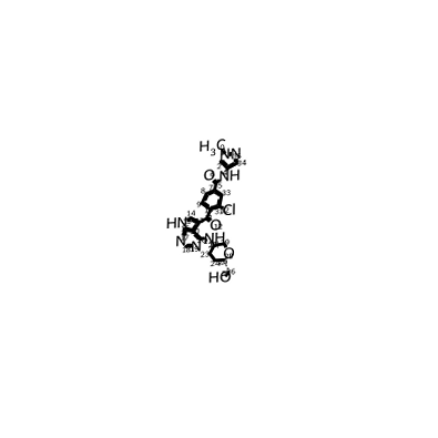 Cn1cc(NC(=O)c2ccc(C(=O)c3c[nH]c4ncnc(N[C@@H]5CC[C@@H](CO)OC5)c34)c(Cl)c2)cn1